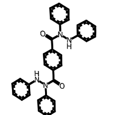 O=C(c1ccc(C(=O)N(Nc2ccccc2)c2ccccc2)cc1)N(Nc1ccccc1)c1ccccc1